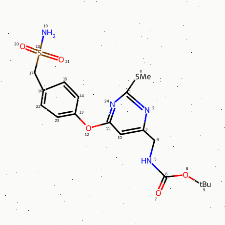 CSc1nc(CNC(=O)OC(C)(C)C)cc(Oc2ccc(CS(N)(=O)=O)cc2)n1